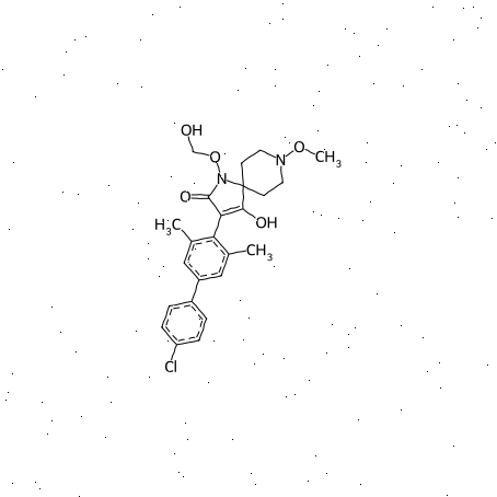 CON1CCC2(CC1)C(O)=C(c1c(C)cc(-c3ccc(Cl)cc3)cc1C)C(=O)N2OCO